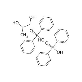 CC(O)CO.O=P(O)(c1ccccc1)c1ccccc1.O=P(O)(c1ccccc1)c1ccccc1